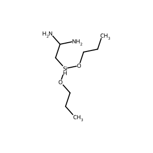 CCCO[SiH](CC(N)N)OCCC